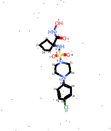 O=C(NO)C1(NS(=O)(=O)N2CCN(c3ccc(Cl)cc3)CC2)CCCC1